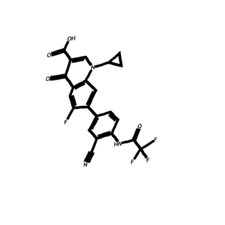 N#Cc1cc(-c2cc3c(cc2F)c(=O)c(C(=O)O)cn3C2CC2)ccc1NC(=O)C(F)(F)F